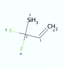 C=CC(F)(F)[SiH3]